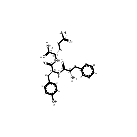 NC(=O)CC[C@H](NC(=O)[C@H](Cc1ccc(O)cc1)NC(=O)[C@@H](N)Cc1ccccc1)C(N)=O